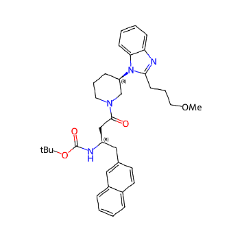 COCCCc1nc2ccccc2n1[C@@H]1CCCN(C(=O)C[C@@H](Cc2ccc3ccccc3c2)NC(=O)OC(C)(C)C)C1